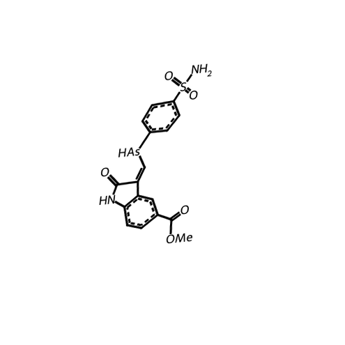 COC(=O)c1ccc2c(c1)C(=C[AsH]c1ccc(S(N)(=O)=O)cc1)C(=O)N2